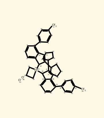 FC(F)(F)c1ccc(-c2cccc3c2C=C(C2CCCC2)[CH]3[Hf+2]2([CH]3C(C4CCCC4)=Cc4c(-c5ccc(C(F)(F)F)cc5)cccc43)[CH2]C[CH2]2)cc1.[Cl-].[Cl-]